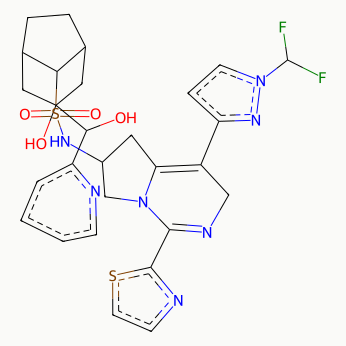 O=S(=O)(NC1CC2=C(c3ccn(C(F)F)n3)CN=C(c3nccs3)N2C1)C1C2CCC1CC(O)(C(O)c1ccccn1)C2